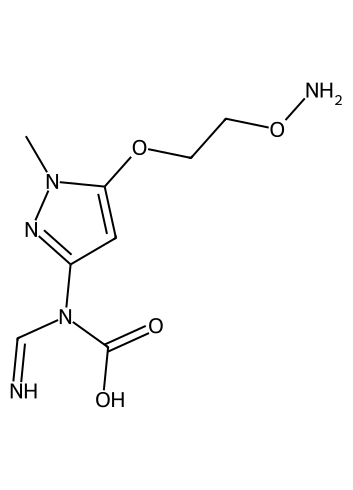 Cn1nc(N(C=N)C(=O)O)cc1OCCON